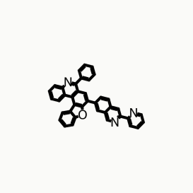 c1ccc(-c2nc3ccccc3c3c2cc(-c2ccc4cc(-c5ccccn5)ncc4c2)c2oc4ccccc4c23)cc1